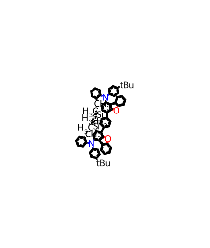 Cc1ccccc1N(c1ccc(C(C)(C)C)cc1)c1cc2c(c3oc4ccccc4c13)-c1ccc3c(c1[Si]2(C)C)[Si](C)(C)c1cc(N(c2ccc(C(C)(C)C)cc2)c2ccccc2C)c2c(oc4ccccc42)c1-3